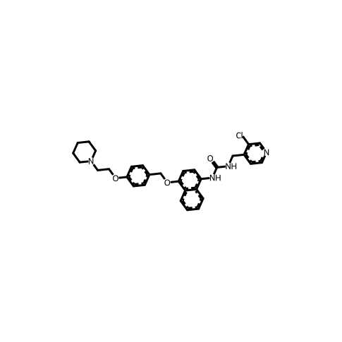 O=C(NCc1ccncc1Cl)Nc1ccc(OCc2ccc(OCCN3CCCCC3)cc2)c2ccccc12